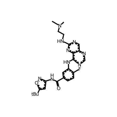 CN(C)CCNc1ncc2ncnc(Nc3cc(C(=O)Nc4cc(C(C)(C)C)on4)ccc3F)c2n1